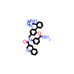 NC(=O)c1cccc(N(Cc2ccc(-c3ccccc3-c3nnn[nH]3)cc2)C(=O)c2cnc3ccccc3c2)c1